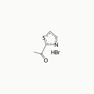 Br.CC(=O)c1nccs1